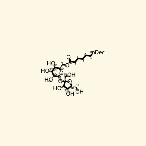 CCCCCCCCCCCCCCCC(=O)OC[C@H]1O[C@H](O[C@]2(CO)O[C@H](CO)[C@@H](O)[C@@H]2O)[C@H](O)[C@@H](O)[C@@H]1O